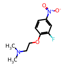 CN(C)CCOc1ccc([N+](=O)[O-])cc1F